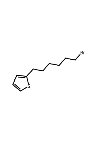 BrCCCCCCc1cccs1